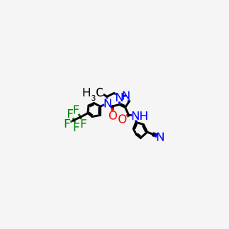 CC1Cn2ncc(C(=O)Nc3cccc(C#N)c3)c2C(=O)N1c1ccc(C(F)(F)C(F)(F)F)cc1